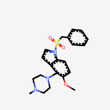 COc1ccc2c(ccn2S(=O)(=O)Cc2ccccc2)c1N1CCN(C)CC1